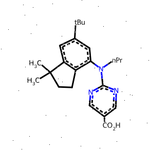 CCCN(c1ncc(C(=O)O)cn1)c1cc(C(C)(C)C)cc2c1CCC2(C)C